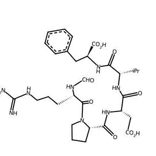 CC(C)[C@H](NC(=O)[C@H](CC(=O)O)NC(=O)[C@@H]1CCCN1C(=O)[C@H](CCCNC(=N)N)NC=O)C(=O)N[C@@H](Cc1ccccc1)C(=O)O